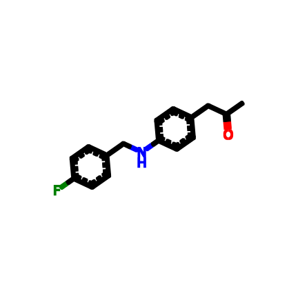 CC(=O)Cc1ccc(NCc2ccc(F)cc2)cc1